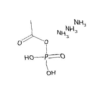 CC(=O)OP(=O)(O)O.N.N.N